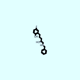 Oc1ccc(F)cc1CCC[C@H](O)CNCc1ccccc1